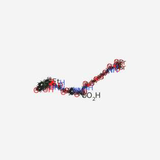 CCC(=O)O[C@]1(C(=O)COCNC(=O)CNC(=O)OCc2ccc(NC(=O)[C@H](CCC(=O)O)NC(=O)CNC(=O)CCOCCOCCOCCOCCNC(=O)CCN3C(=O)C(Br)=C(Br)C3=O)cc2)[C@@H](C)CC2C3CCC4=CC(=O)C=C[C@]4(C)[C@@]3(Cl)[C@@H](O)C[C@@]21C